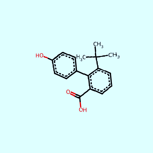 CC(C)(C)c1cccc(C(=O)O)c1-c1ccc(O)cc1